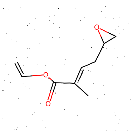 C=COC(=O)/C(C)=C/CC1CO1